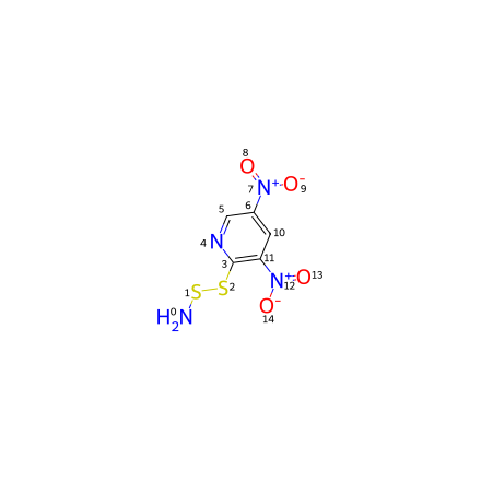 NSSc1ncc([N+](=O)[O-])cc1[N+](=O)[O-]